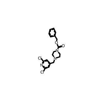 O=C(OCc1ccccc1)N1CCN(Cc2cc(Cl)nc(Cl)c2)CC1